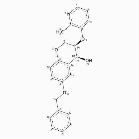 Cc1ncccc1O[C@@H]1COc2ccc(OCc3ccccc3)cc2[C@@H]1O